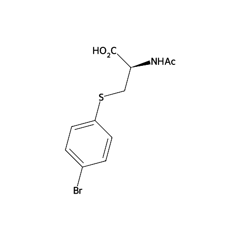 CC(=O)N[C@@H](CSc1ccc(Br)cc1)C(=O)O